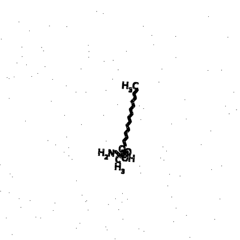 CCCCCCCCCCCCCCCCOP(=O)(O)[C@H](C)CN